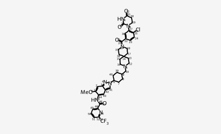 COc1cc2nn(C3CCC(CN4CCC5(CC4)CCN(C(=O)c4ccc(Cl)c(N6CCC(=O)NC6=O)c4)CC5)CC3)cc2cc1NC(=O)c1cccc(C(F)(F)F)n1